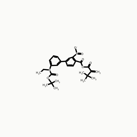 C=C(C(=O)OC(=O)c1ccc(-c2cccc(N(CC)C(=O)OC(C)(C)C)c2)cc1[N+](=O)[O-])C(C)(C)C